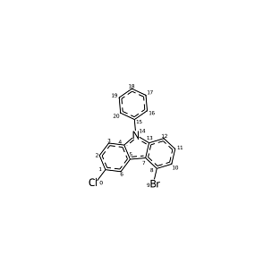 Clc1ccc2c(c1)c1c(Br)cccc1n2-c1ccccc1